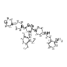 CCc1ccc(C[C@@H](NC(=O)N2CCC(NCCc3ccccc3N)CC2)C(=O)N2CCC(N3CCOCC3)CC2)cc1CC